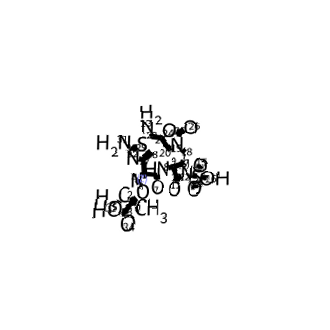 CC(C)(O/N=C(\C(=O)NC1C(=O)N(S(=O)(=O)O)[C@H]1CN1CC(CN)OC1=O)c1csc(N)n1)C(=O)O